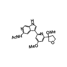 COc1cc(-c2c[nH]c3cnc(NC(C)=O)cc23)nc(C2(OC)CCOC2)c1